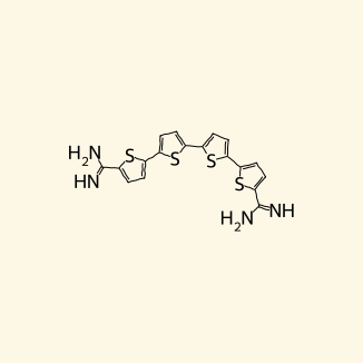 N=C(N)c1ccc(-c2ccc(-c3ccc(-c4ccc(C(=N)N)s4)s3)s2)s1